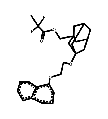 CC(F)(F)C(=O)OCC12CC3CC(C1)CC(OCCOc1cccc4ccccc14)(C3)C2